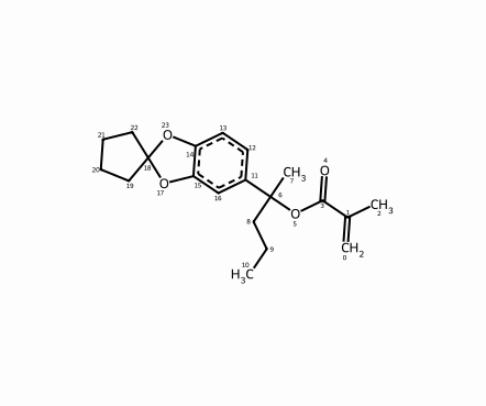 C=C(C)C(=O)OC(C)(CCC)c1ccc2c(c1)OC1(CCCC1)O2